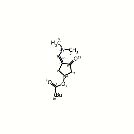 CN(C)/C=C1/CN(OC(=O)C(C)(C)C)CC1=O